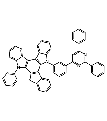 c1ccc(-c2cc(-c3cccc(-n4c5ccccc5c5c6c7ccccc7n(-c7ccccc7)c6c6sc7ccccc7c6c54)c3)nc(-c3ccccc3)n2)cc1